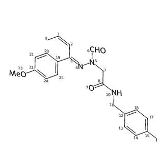 C/C=C\C(=N/N(C=O)CC(=O)NCc1ccc(Cl)cc1)c1ccc(OC)cc1